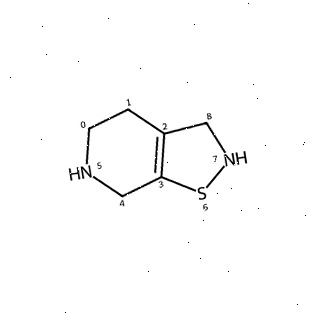 C1CC2=C(CN1)SNC2